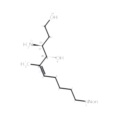 CCCCCCCCCCCCC/C=C(/C)[C@@H](O)[C@@H](N)CCO